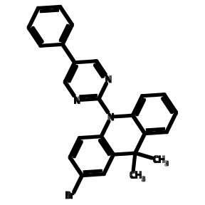 CC1(C)c2ccccc2N(c2ncc(-c3ccccc3)cn2)c2ccc(Br)cc21